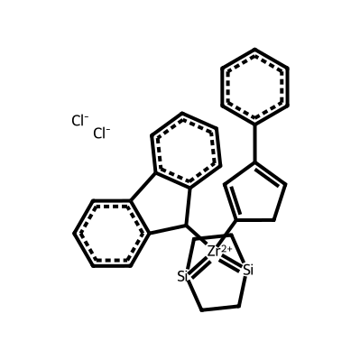 C1=C(c2ccccc2)C=[C]([Zr+2]2([CH]3c4ccccc4-c4ccccc43)=[Si]3CC[Si]=2CC3)C1.[Cl-].[Cl-]